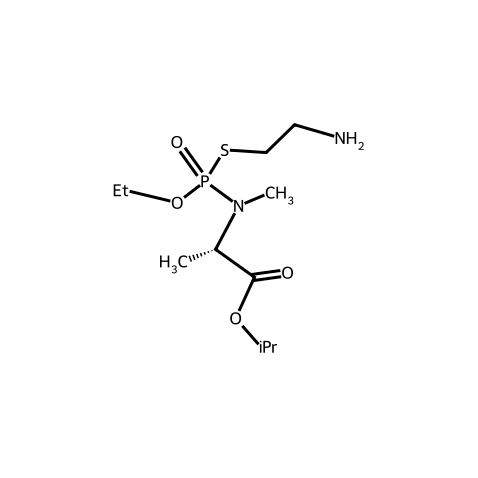 CCOP(=O)(SCCN)N(C)[C@@H](C)C(=O)OC(C)C